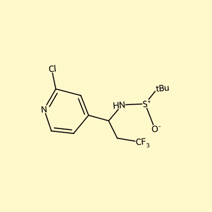 CC(C)(C)[S+]([O-])NC(CC(F)(F)F)c1ccnc(Cl)c1